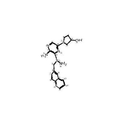 Nc1ncc(N2CCC(O)C2)nc1N(N)Cc1ccc2ncccc2c1